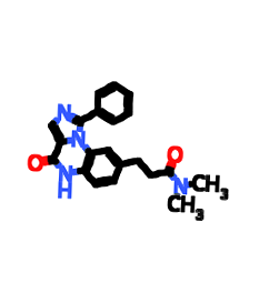 CN(C)C(=O)CCc1ccc2[nH]c(=O)c3cnc(-c4ccccc4)n3c2c1